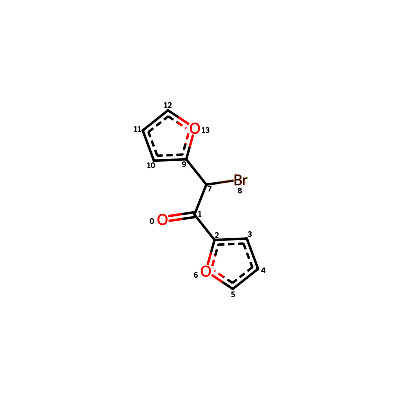 O=C(c1ccco1)C(Br)c1ccco1